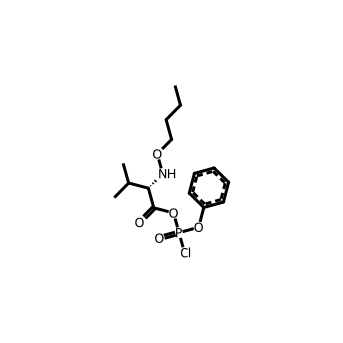 CCCCON[C@H](C(=O)OP(=O)(Cl)Oc1ccccc1)C(C)C